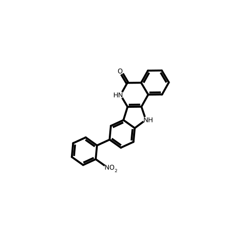 O=c1[nH]c2c3cc(-c4ccccc4[N+](=O)[O-])ccc3[nH]c2c2ccccc12